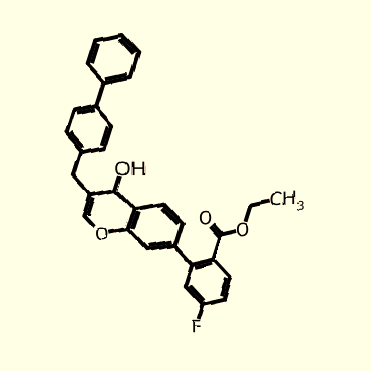 CCOC(=O)c1ccc(F)cc1-c1ccc2c(c1)OC=C(Cc1ccc(-c3ccccc3)cc1)C2O